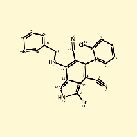 N#Cc1c(-c2ccccc2Cl)c(C#N)c2c(Br)[nH]nc2c1NCc1cccnc1